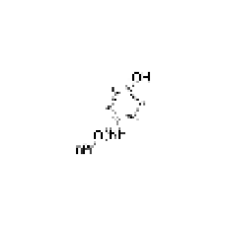 CCCONc1ccc(O)cc1